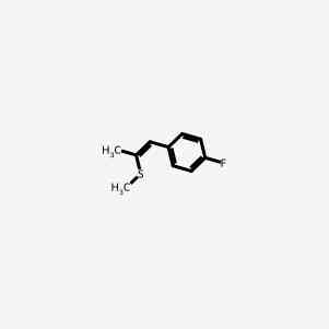 CS/C(C)=C\c1ccc(F)cc1